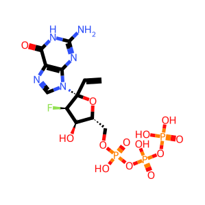 C=C[C@@]1(n2cnc3c(=O)[nH]c(N)nc32)O[C@H](COP(=O)(O)OP(=O)(O)OP(=O)(O)O)[C@@H](O)[C@H]1F